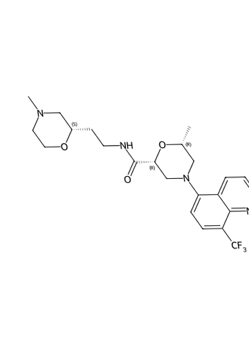 C[C@@H]1CN(c2ccc(C(F)(F)F)c3ncccc23)C[C@H](C(=O)NCC[C@H]2CN(C)CCO2)O1